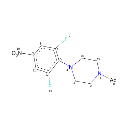 CC(=O)N1CCN(c2c(F)cc([N+](=O)[O-])cc2F)CC1